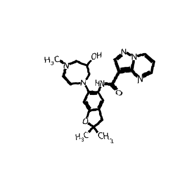 CN1CCN(c2cc3c(cc2NC(=O)c2cnn4cccnc24)CC(C)(C)O3)CC(O)C1